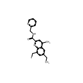 CCc1cc(CF)c2nc(C(=O)NCc3ccccn3)cc(C)c2c1